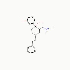 COc1cccc(C2(O)CCC(CCc3ccccc3)CC2CN(C)C)c1